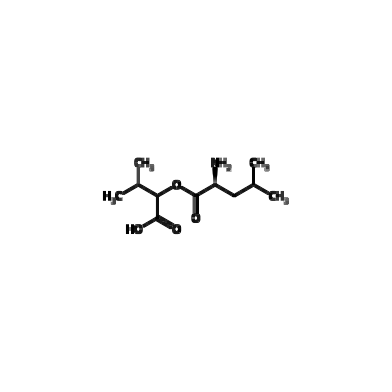 CC(C)C[C@H](N)C(=O)OC(C(=O)O)C(C)C